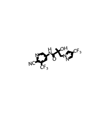 CC(O)(Cn1cc(C(F)(F)F)cn1)C(=O)Nc1cnc(C#N)c(C(F)(F)F)c1